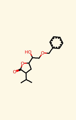 CC(C)C1CC(C(O)COCc2ccccc2)OC1=O